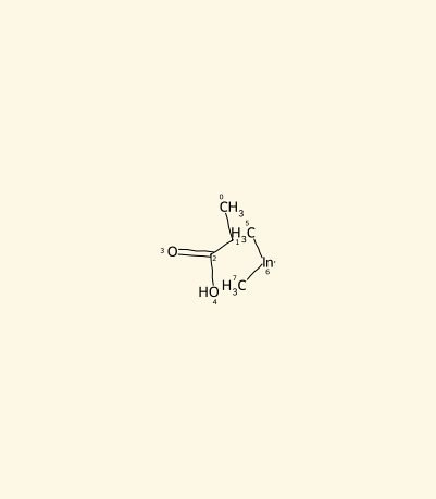 CCC(=O)O.[CH3][In][CH3]